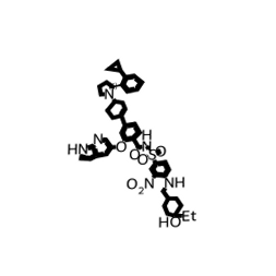 CCC1(O)CCC(CNc2ccc(S(=O)(=O)NC(=O)c3ccc(C4=CCC(N5CCC[C@H]5c5ccccc5C5CC5)CC4)cc3Oc3cnc4[nH]ccc4c3)cc2[N+](=O)[O-])CC1